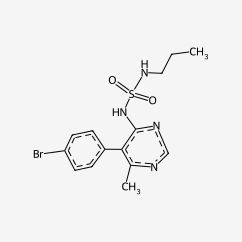 CCCNS(=O)(=O)Nc1ncnc(C)c1-c1ccc(Br)cc1